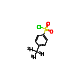 [2H]C([2H])([2H])c1ccc(S(=O)(=O)Cl)cc1